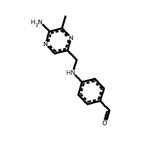 Cc1nc(CNc2ccc(C=O)cc2)cnc1N